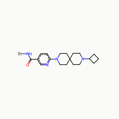 CCNC(=O)c1ccc(N2CCC3(CC2)CCN(C2CCC2)CC3)nc1